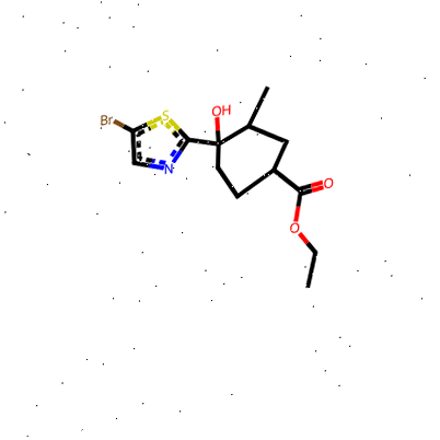 CCOC(=O)C1CCC(O)(c2ncc(Br)s2)C(C)C1